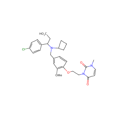 COc1cc(CN(C2CCC2)C(CC(=O)O)c2ccc(Cl)cc2)ccc1OCCn1c(=O)ccn(C)c1=O